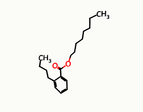 CCCCCCCCOC(=O)c1ccccc1CCCC